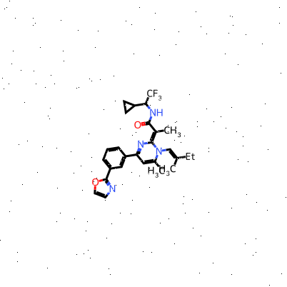 CC/C(C)=C/N1C(C)=CC(c2cccc(-c3ncco3)c2)=N/C1=C(/C)C(=O)NC(C1CC1)C(F)(F)F